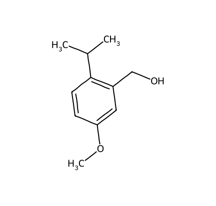 COc1ccc(C(C)C)c(CO)c1